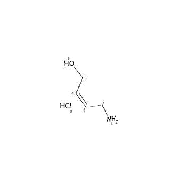 Cl.NC/C=C\CO